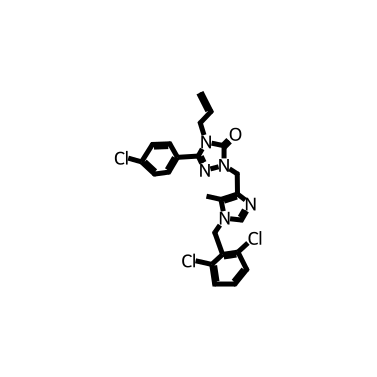 C=CCn1c(-c2ccc(Cl)cc2)nn(Cc2ncn(Cc3c(Cl)cccc3Cl)c2C)c1=O